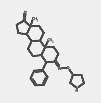 CC12CCC3C(CCC4C(c5ccccc5)C(=NOC5CCNC5)CCC43C)C1CCC2=O